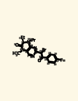 CC[C@@H]1C(=O)N(C)c2cnc(C(Br)C(=O)c3ccc(F)cc3)nc2N1C(C)C